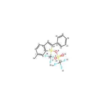 Cc1ccc2c(c1)S(OS(=O)(=O)C(F)(F)F)(C(F)(F)F)C(c1ccccc1)=C2